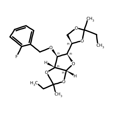 CCC1(C)O[C@H]2O[C@H]([C@H]3COC(C)(CC)O3)[C@H](OCc3ccccc3F)[C@H]2O1